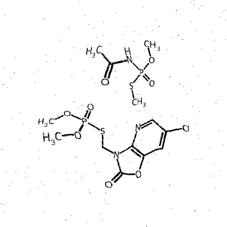 COP(=O)(NC(C)=O)SC.COP(=O)(OC)SCn1c(=O)oc2cc(Cl)cnc21